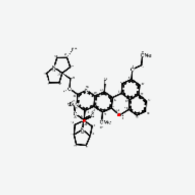 COCOc1cc(-c2c(C#N)c(OC)c3c(N4CC5CCC(C4)N5C(=O)OC(C)(C)C)nc(OC[C@@]45CCCN4C[C@H](F)C5)nc3c2F)c2c(F)cccc2c1